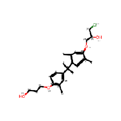 CC1=CC(C(C)(C)c2ccc(OCCCO)c(C)c2)C(C)C=C1OC[C@H](O)CCl